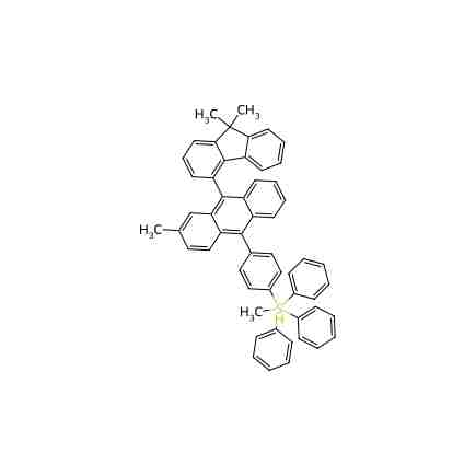 Cc1ccc2c(-c3ccc([SH](C)(c4ccccc4)(c4ccccc4)c4ccccc4)cc3)c3ccccc3c(-c3cccc4c3-c3ccccc3C4(C)C)c2c1